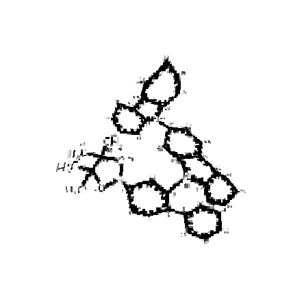 CC1(C)OB(c2ccc(-c3ccccc3)c(-n3c4ccccc4c4ccc(-n5c6ccccc6c6ccccc65)cc43)c2)OC1(C)C